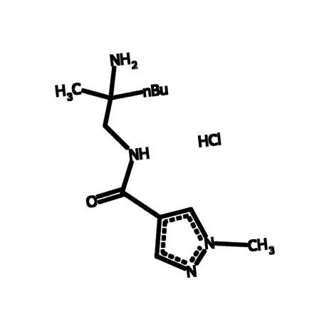 CCCCC(C)(N)CNC(=O)c1cnn(C)c1.Cl